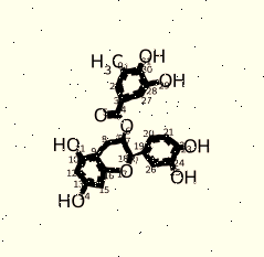 Cc1cc(C(=O)O[C@@H]2Cc3c(O)cc(O)cc3O[C@@H]2c2ccc(O)c(O)c2)cc(O)c1O